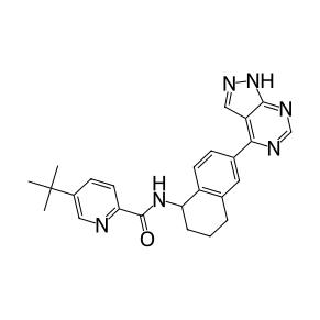 CC(C)(C)c1ccc(C(=O)NC2CCCc3cc(-c4ncnc5[nH]ncc45)ccc32)nc1